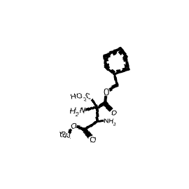 CC(C)(C)OC(=O)C(N)C(N)(C(=O)O)C(=O)OCc1ccccc1